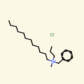 CCCCCCCCCCCC[N+](C)(CCC)Cc1ccccc1.[Cl-]